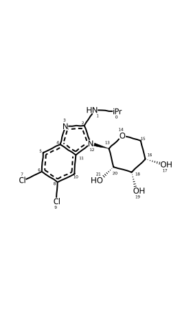 CC(C)Nc1nc2cc(Cl)c(Cl)cc2n1[C@H]1OC[C@H](O)[C@H](O)[C@@H]1O